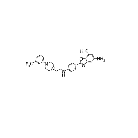 Cc1cc(N)cc2nc(-c3ccc(NCCN4CCN(c5cccc(C(F)(F)F)c5)CC4)cc3)oc12